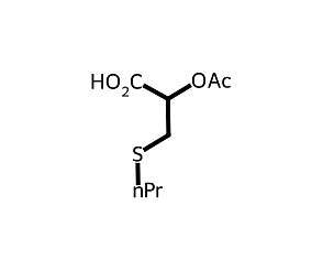 CCCSCC(OC(C)=O)C(=O)O